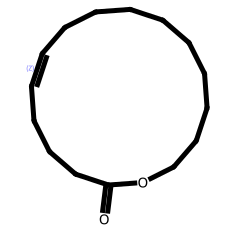 O=C1CCC/C=C\CCCCCCCCCO1